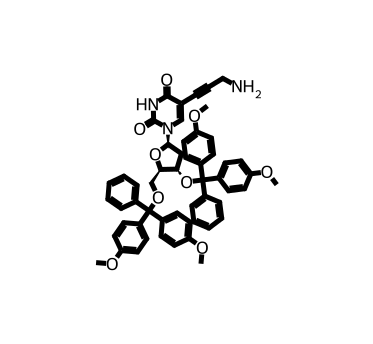 COc1ccc(C(OC[C@H]2O[C@@H](n3cc(C#CCN)c(=O)[nH]c3=O)C[C@@H]2OC(c2ccccc2)(c2ccc(OC)cc2)c2ccc(OC)cc2)(c2ccccc2)c2ccc(OC)cc2)cc1